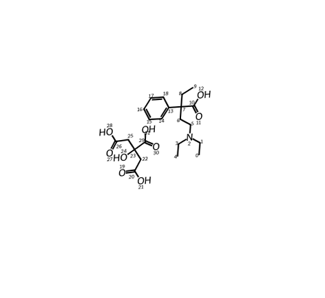 CCN(CC)CCC(CC)(C(=O)O)c1ccccc1.O=C(O)CC(O)(CC(=O)O)C(=O)O